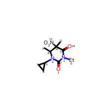 CCN1C(=O)N(C2CC2)C(C)C(C)([N+](=O)[O-])C1=O